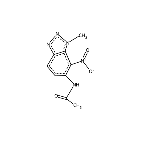 CC(=O)Nc1ccc2nnn(C)c2c1[N+](=O)[O-]